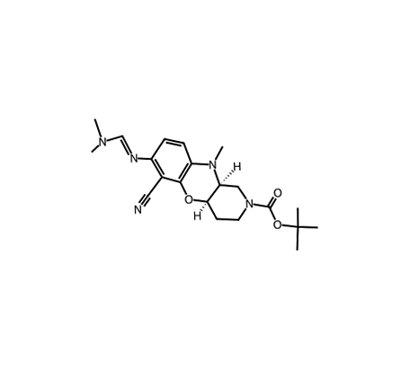 CN(C)/C=N/c1ccc2c(c1C#N)O[C@@H]1CCN(C(=O)OC(C)(C)C)C[C@@H]1N2C